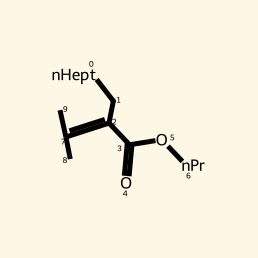 CCCCCCCCC(C(=O)OCCC)=C(C)C